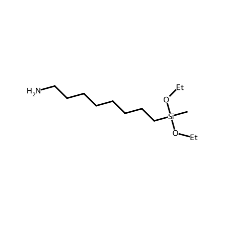 CCO[Si](C)(CCCCCCCCN)OCC